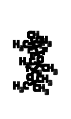 CC(C)(C)OC(F)(F)C(C)(C)OC(F)(F)C(F)(F)C(C)(C)C